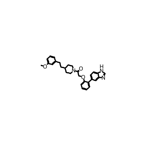 COc1cccc(CCC2CCN(C(=O)COc3ccccc3-c3ccc4[nH]cnc4c3)CC2)c1